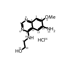 COc1cc2ncnc(NCCO)c2cc1N.Cl